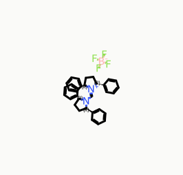 C(N1[C@@H](c2ccccc2)CC[C@@H]1c1ccccc1)=[N+]1[C@@H](c2ccccc2)CC[C@@H]1c1ccccc1.F[B-](F)(F)F